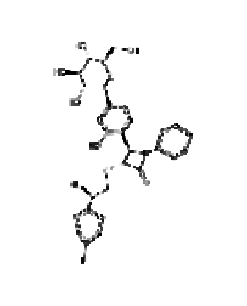 O=C1[C@H](CC[C@H](O)c2ccc(F)cc2)[C@@H](c2ccc([C@@H]3O[C@H](CO)[C@@H](O)[C@H](O)[C@H]3O)cc2O)N1c1ccccc1